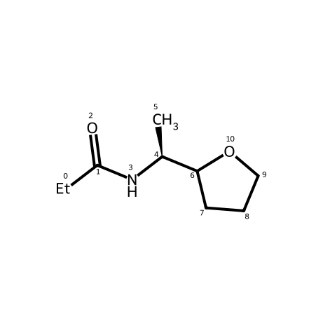 CCC(=O)N[C@@H](C)C1CCCO1